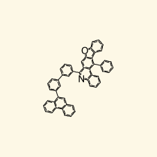 c1ccc(-c2c3c(cc4c(-c5cccc(-c6cccc(-c7cc8ccccc8c8ccccc78)c6)c5)nc5ccccc5c24)oc2ccccc23)cc1